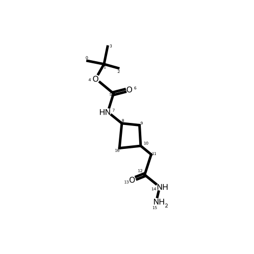 CC(C)(C)OC(=O)NC1CC(CC(=O)NN)C1